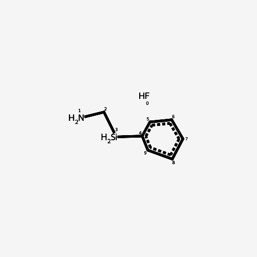 F.NC[SiH2]c1ccccc1